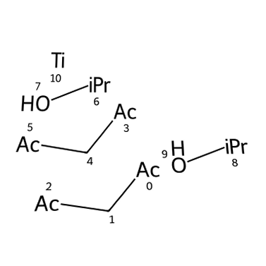 CC(=O)CC(C)=O.CC(=O)CC(C)=O.CC(C)O.CC(C)O.[Ti]